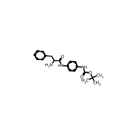 CC(C)(C)OC(=O)Nc1ccc(NC(=O)C(N)Cc2ccccc2)cc1